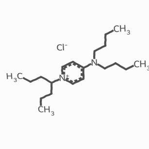 CCCCN(CCCC)c1cc[n+](C(CCC)CCC)cc1.[Cl-]